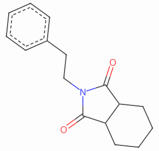 O=C1C2CCCCC2C(=O)N1CCc1ccccc1